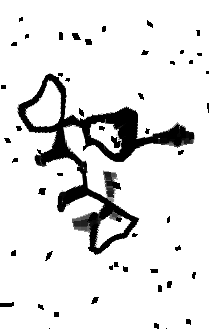 COc1ccc(C2(C(=O)OC(=O)[C@@]3(F)CCCN3)CCCC2)cc1